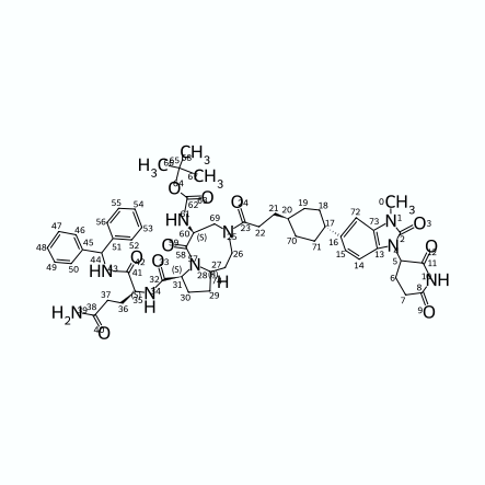 Cn1c(=O)n(C2CCC(=O)NC2=O)c2ccc([C@H]3CC[C@H](CCC(=O)N4CC[C@H]5CC[C@@H](C(=O)N[C@@H](CCC(N)=O)C(=O)NC(c6ccccc6)c6ccccc6)N5C(=O)[C@@H](NC(=O)OC(C)(C)C)C4)CC3)cc21